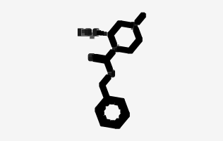 CCOC(=O)[C@@H]1CN(C)CCN1C(=O)OCc1ccccc1